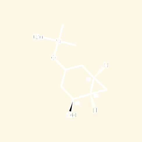 CC(C)(C)[Si](C)(C)OC1C[C@H]2C[C@H]2[C@@H](O)C1